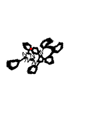 c1ccc(-c2nc(-c3ccccc3)nc(-n3c4ccccc4c4cc5c6ccccc6c6ccccc6c6ccccc6n6c7ccccc7c(c43)c56)n2)cc1